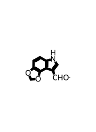 O=[C]c1c[nH]c2ccc3c(c12)OCO3